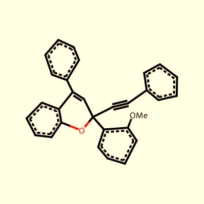 COc1ccccc1C1(C#Cc2ccccc2)C=C(c2ccccc2)c2ccccc2O1